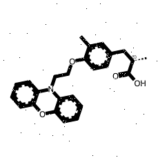 Cc1cc(C[C@H](C)C(=O)O)ccc1OCCN1c2ccccc2Oc2ccccc21